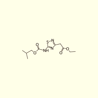 CCOC(=O)Cc1nsc(NC(=O)OCC(C)C)n1